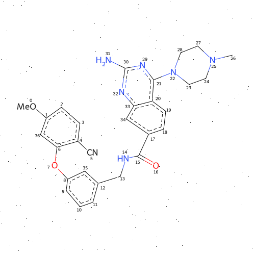 COc1ccc(C#N)c(Oc2cccc(CNC(=O)c3ccc4c(N5CCN(C)CC5)nc(N)nc4c3)c2)c1